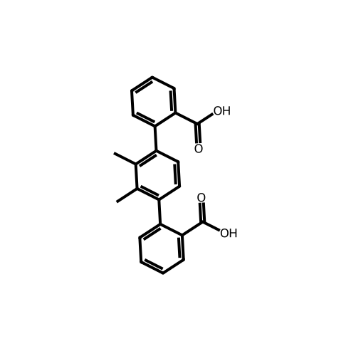 Cc1c(-c2ccccc2C(=O)O)ccc(-c2ccccc2C(=O)O)c1C